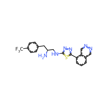 N[C@H](CNc1nnc(-c2cccc3cnncc23)s1)Cc1ccc(C(F)(F)F)cc1